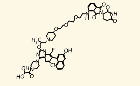 C[C@H](CN1CCC(OCCOCCOCCNc2cccc3c2C(=O)N(C2CCC(=O)NC2=O)C3=O)CC1)Oc1nc(N2CCN(C(=O)C(O)O)CC2)c2cc(Cl)c(-c3cc(O)cc4ccccc34)c(F)c2n1